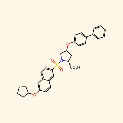 O=C(O)[C@@H]1C[C@H](Oc2ccc(-c3ccccc3)cc2)CN1S(=O)(=O)c1ccc2cc(OC3CCCC3)ccc2c1